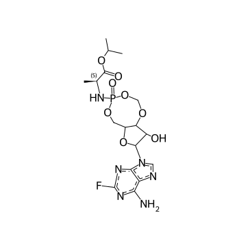 CC(C)OC(=O)[C@H](C)NP1(=O)OCOC2C(CO1)OC(n1cnc3c(N)nc(F)nc31)C2O